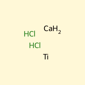 Cl.Cl.[CaH2].[Ti]